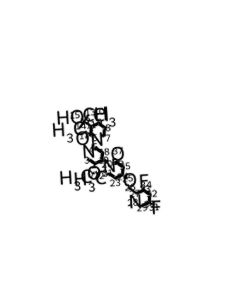 COc1cnc(-n2ccc(Cl)c(C(C)(C)O)c2=O)cc1-n1c(C)cc(OCc2ncc(F)cc2F)cc1=O